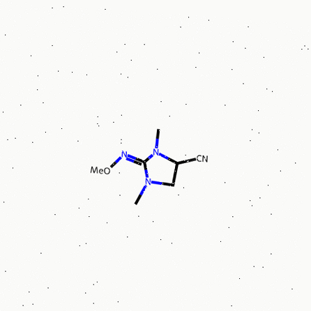 CO/N=C1\N(C)CC(C#N)N1C